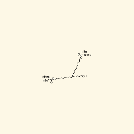 CCCCCCC(CCCC)C(=O)OCCCCCCCCCN(CCCCO)CCCCCCCCCOC(=O)C(CCCC)CCCCCC